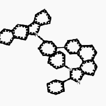 c1ccc(-c2nc3ccc4ccc5ccc(-c6cccc(-n7c8ccccc8c8cc9ccccc9cc87)c6)cc5c4c3n2-c2ccccc2)cc1